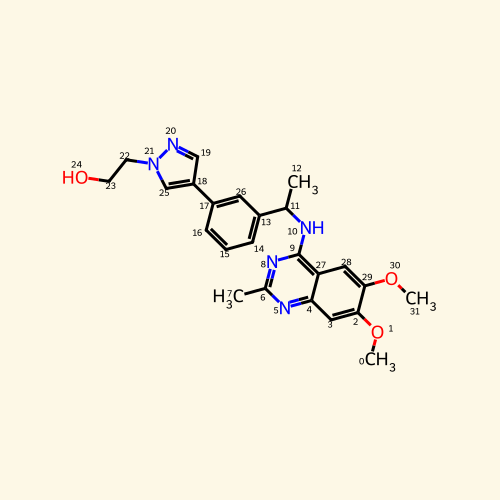 COc1cc2nc(C)nc(NC(C)c3cccc(-c4cnn(CCO)c4)c3)c2cc1OC